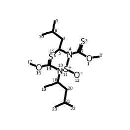 COC(=S)N(C(C)CC(C)C)[S+]([O-])N(C(=S)OC)C(C)CC(C)C